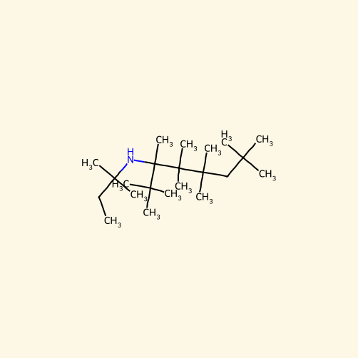 CCC(C)(C)NC(C)(C(C)(C)C)C(C)(C)C(C)(C)CC(C)(C)C